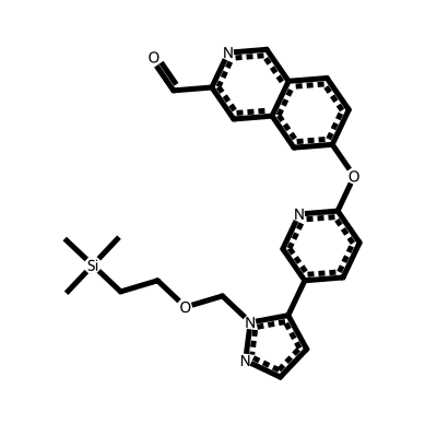 C[Si](C)(C)CCOCn1nccc1-c1ccc(Oc2ccc3cnc(C=O)cc3c2)nc1